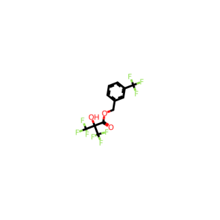 O=C(OCc1cccc(C(F)(F)F)c1)C(O)(C(F)(F)F)C(F)(F)F